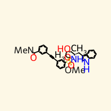 CNC(=O)c1cccc(C#Cc2ccc(OC)c(S(=O)(=O)N[C@H](Cc3c[nH]c4ccccc34)C(C)(C)O)c2)c1